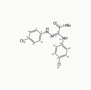 CC(C)(C)C(=O)/C(=N\Nc1ccc(Cl)cc1)Nc1ccc(Cl)cc1